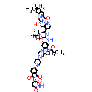 [2H]C([2H])([2H])n1cc(-c2ccnc(N3CCn4c(cc5c4CC(C)(C)C5)C3=O)c2CO)nc(Nc2ccc(N3CCN(C4CCN(c5ccc6c(c5)C(=O)N([C@H]5CCC(=O)NC5=O)C6=O)CC4)C[C@@H]3C)c(NC(=O)CC)c2)c1=O